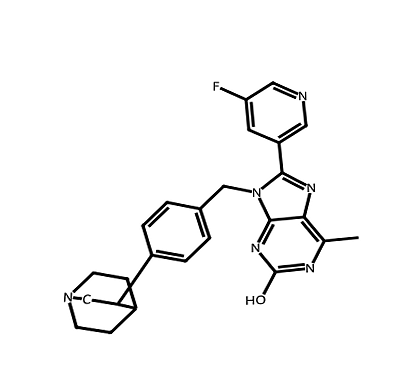 Cc1nc(O)nc2c1nc(-c1cncc(F)c1)n2Cc1ccc(C2CN3CCC2CC3)cc1